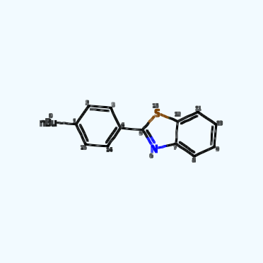 CCCCc1ccc(-c2nc3ccccc3s2)cc1